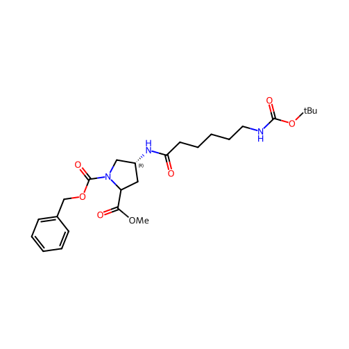 COC(=O)C1C[C@@H](NC(=O)CCCCCNC(=O)OC(C)(C)C)CN1C(=O)OCc1ccccc1